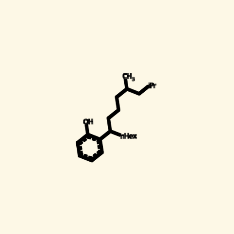 CCCCCCC(CCCC(C)CC(C)C)c1ccccc1O